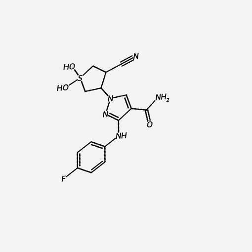 N#CC1CS(O)(O)CC1n1cc(C(N)=O)c(Nc2ccc(F)cc2)n1